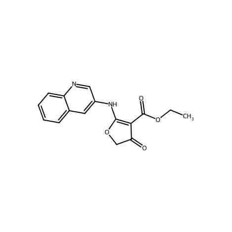 CCOC(=O)C1=C(Nc2cnc3ccccc3c2)OCC1=O